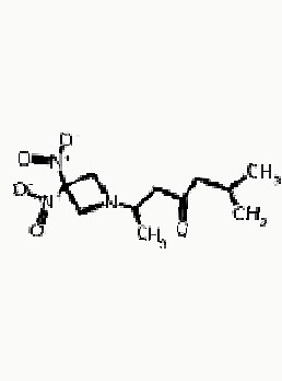 CC(C)CC(=O)CC(C)N1CC([N+](=O)[O-])([N+](=O)[O-])C1